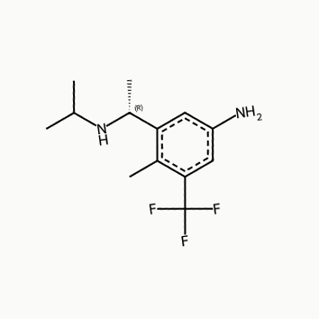 Cc1c([C@@H](C)NC(C)C)cc(N)cc1C(F)(F)F